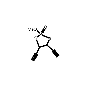 C#CC1SP(=O)(OC)SC1C#C